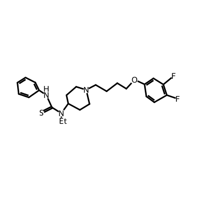 CCN(C(=S)Nc1ccccc1)C1CCN(CCCCOc2ccc(F)c(F)c2)CC1